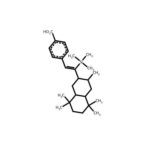 CC1CC2C(CC1C(=Cc1ccc(C(=O)O)cc1)[Si](C)(C)C)C(C)(C)CCC2(C)C